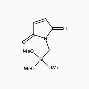 CO[Si](CN1C(=O)C=CC1=O)(OC)OC